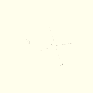 Br.C[Si](C)(C)Br